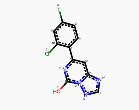 Oc1nc(-c2ccc(Cl)cc2Cl)cc2ncnn12